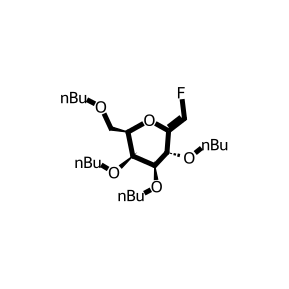 CCCCOC[C@H]1OC(=CF)[C@H](OCCCC)[C@@H](OCCCC)[C@H]1OCCCC